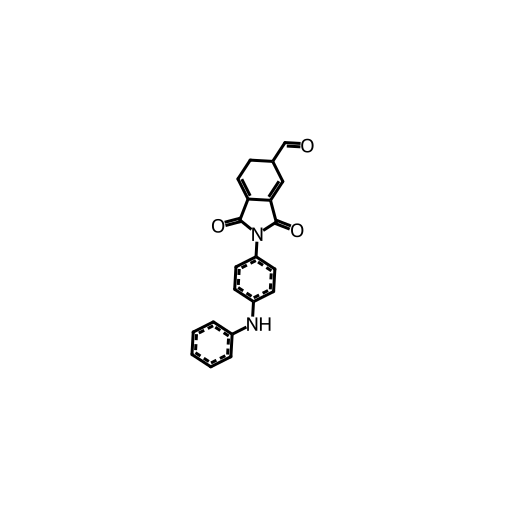 O=CC1C=C2C(=O)N(c3ccc(Nc4ccccc4)cc3)C(=O)C2=CC1